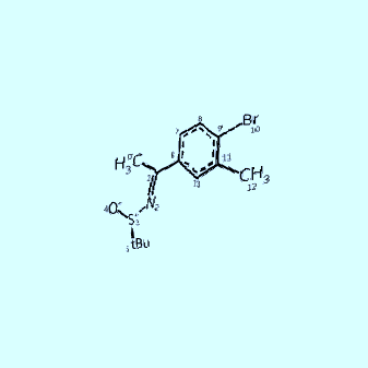 CC(=N[S@+]([O-])C(C)(C)C)c1ccc(Br)c(C)c1